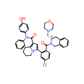 O=C(c1cc(-c2cc(Cl)ccc2C(=O)N2Cc3ccccc3C[C@H]2CN2CCOCC2)n2c1CCCC2)N(c1ccccc1)c1ccc(O)cc1